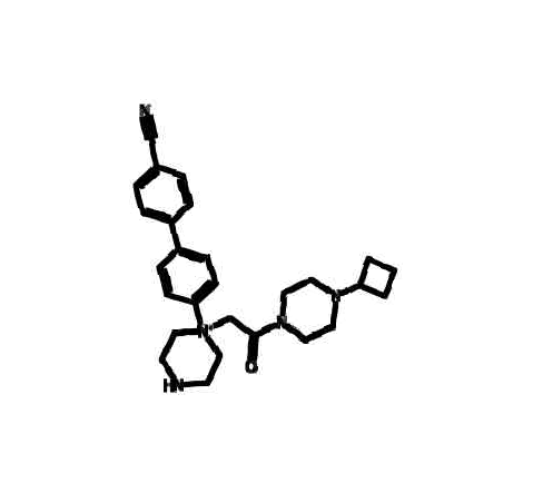 N#Cc1ccc(-c2ccc([N+]3(CC(=O)N4CCN(C5CCC5)CC4)CCNCC3)cc2)cc1